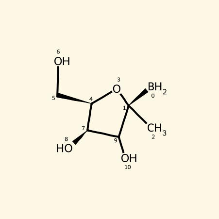 B[C@]1(C)O[C@H](CO)[C@H](O)C1O